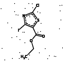 CCOC(=O)c1sc(Cl)nc1I